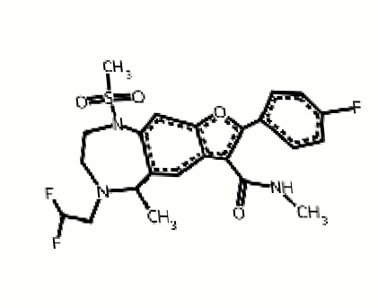 CNC(=O)c1c(-c2ccc(F)cc2)oc2cc3c(cc12)C(C)N(CC(F)F)CCN3S(C)(=O)=O